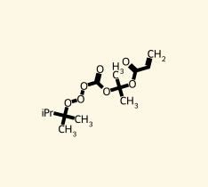 C=CC(=O)OC(C)(C)OC(=O)OOOC(C)(C)C(C)C